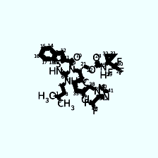 CC(C)CCNC(=N)N(C(=O)c1cc2ccccc2s1)[C@H](COC(=O)NC1(C(F)(F)F)CC1)c1ccc(Cl)c(-n2ncnc2C(F)F)c1